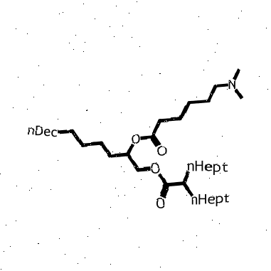 CCCCCCCCCCCCCCC(COC(=O)C(CCCCCCC)CCCCCCC)OC(=O)CCCCCN(C)C